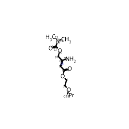 CCCOCCOC(=O)/C=C(\N)COC(=O)N(C)C